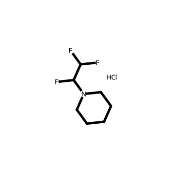 Cl.FC(F)C(F)N1CCCCC1